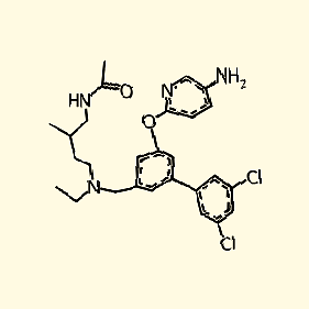 CCN(CCC(C)CNC(C)=O)Cc1cc(Oc2ccc(N)cn2)cc(-c2cc(Cl)cc(Cl)c2)c1